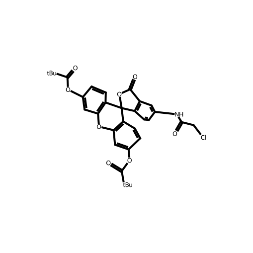 CC(C)(C)C(=O)Oc1ccc2c(c1)Oc1cc(OC(=O)C(C)(C)C)ccc1C21OC(=O)c2cc(NC(=O)CCl)ccc21